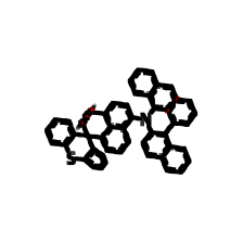 c1ccc(-c2c(N(c3cccc4ccccc34)c3ccc4c5c(cccc35)C3(c5ccccc5Sc5ccccc53)c3ccccc3-4)ccc3ccccc23)cc1